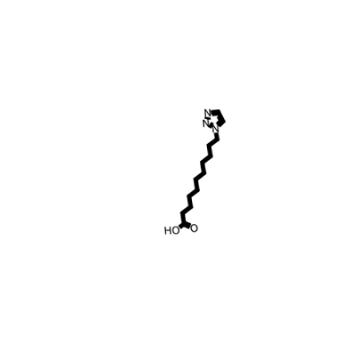 O=C(O)CCCCCCCCCCn1ccnn1